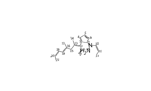 C=C/C(C1=CC=CC1N(N)/C=C\C)=C(/C)C/C(C)=C/C=C\C